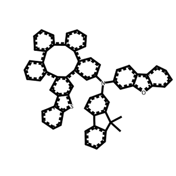 CC1(C)c2ccccc2-c2ccc(N(c3ccc4c(c3)oc3ccccc34)c3ccc4c5ccccc5c5ccccc5c5ccccc5c5cc6c(cc5c4c3)sc3ccccc36)cc21